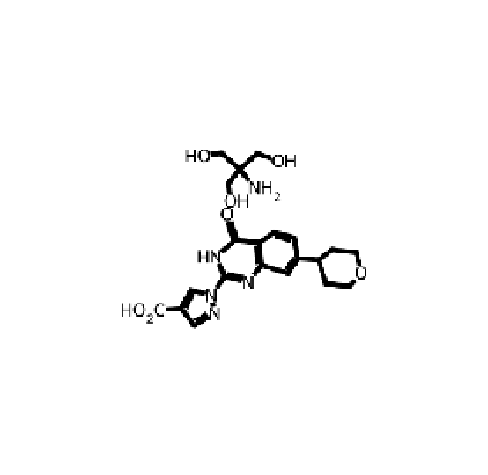 NC(CO)(CO)CO.O=C(O)c1cnn(-c2nc3cc(C4CCOCC4)ccc3c(=O)[nH]2)c1